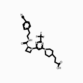 N#Cc1ccc(CCNC(=O)[C@@H]2CCN2c2cc(N3CCC(CCC(=O)O)CC3)nc(C(F)(F)F)n2)cc1